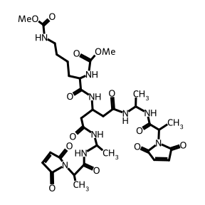 COC(=O)NCCCCC(NC(=O)OC)C(=O)NC(CC(=O)NC(C)NC(=O)C(C)N1C(=O)C=CC1=O)CC(=O)NC(C)NC(=O)C(C)N1C(=O)C=CC1=O